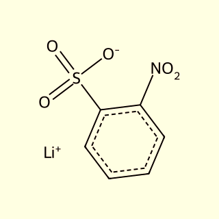 O=[N+]([O-])c1ccccc1S(=O)(=O)[O-].[Li+]